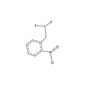 O=[N+]([O-])c1ccccc1CC(F)F